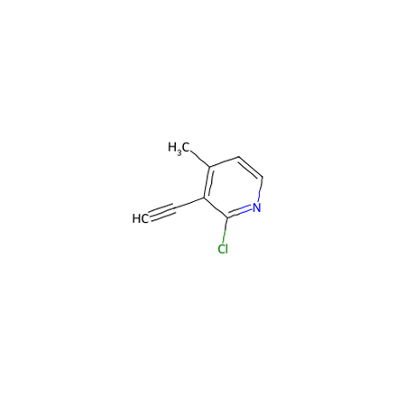 C#Cc1c(C)ccnc1Cl